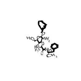 C[C@@H](Cc1ccccc1)NC(=O)[C@@H](C)O[C@@H]1[C@@H](N)[C@H](OCc2ccccc2)O[C@H](CO)[C@H]1O